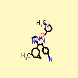 CC1CCC(c2c(-c3ccc(C#N)cc3)nc(OCC3CCCN(C)C3)n3ccnc23)CC2CC2C1